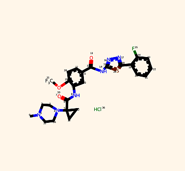 CN1CCN(C2(C(=O)Nc3cc(C(=O)Nc4nnc(-c5ccccc5F)s4)ccc3OC(F)(F)F)CC2)CC1.Cl